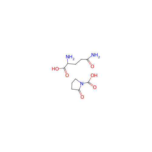 NC(=O)CCC(N)C(=O)O.O=C(O)N1CCCC1=O